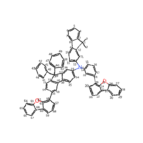 CC1(C)c2ccccc2-c2ccc(N(c3cccc(-c4cccc5c4oc4ccccc45)c3)c3ccc4c(c3)C(c3ccccc3)(c3ccccc3)c3ccc(-c5cccc6c5oc5ccccc56)cc3-4)cc21